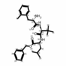 Cc1ccccc1C[C@H](N)C(=O)N[C@H](C(=O)N[C@@H](CC(C)C)C(=O)OCc1ccccc1)C(C)(C)C